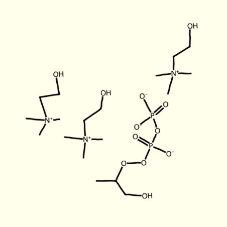 CC(CO)OOP(=O)([O-])OP(=O)([O-])[O-].C[N+](C)(C)CCO.C[N+](C)(C)CCO.C[N+](C)(C)CCO